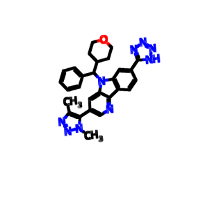 Cc1nnn(C)c1-c1cnc2c3ccc(-c4nnn[nH]4)cc3n(C(c3ccccc3)C3CCOCC3)c2c1